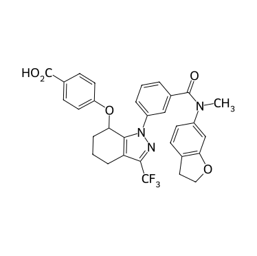 CN(C(=O)c1cccc(-n2nc(C(F)(F)F)c3c2C(Oc2ccc(C(=O)O)cc2)CCC3)c1)c1ccc2c(c1)OCC2